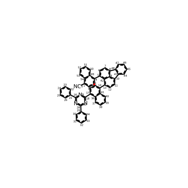 N#Cc1ccc(-c2ccc3c4c(ccc(-c5ccc(-c6nc(-c7ccccc7)nc(-c7ccccc7)n6)c6ccccc56)c24)-c2ccccc2-3)c2ccccc12